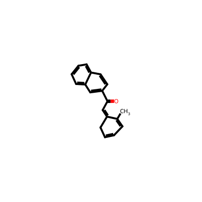 CC1=CC=CCC1=CC(=O)c1ccc2ccccc2c1